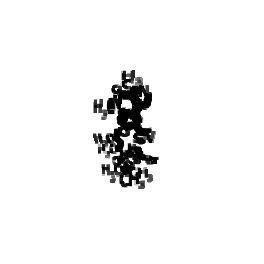 Cc1nccc2c1c(=O)n(C)c1cc(OCC(C)CC(C)N(C(=O)OC(C)(C)C)c3ncc(Br)s3)c(-c3cncs3)cc21